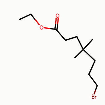 CCOC(=O)CCC(C)(C)CCCBr